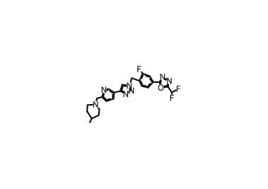 CC1CCN(Cc2ccc(-c3cn(Cc4ccc(-c5nnc(C(F)F)o5)cc4F)nn3)cn2)CC1